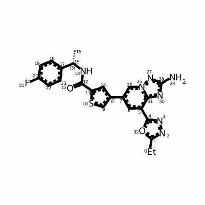 CCc1nnc(-c2cc(-c3csc(C(=O)N[C@@H](C)c4ccc(F)cc4)c3)cn3nc(N)nc23)o1